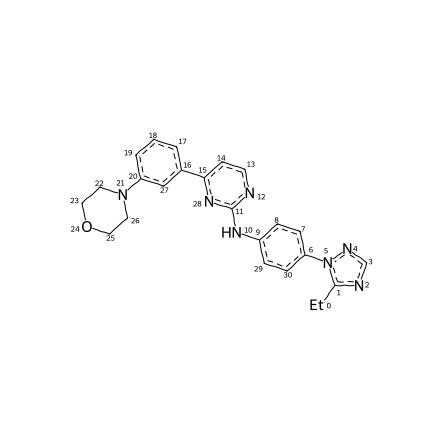 CCc1ncnn1-c1ccc(Nc2nccc(-c3cccc(N4CCOCC4)c3)n2)cc1